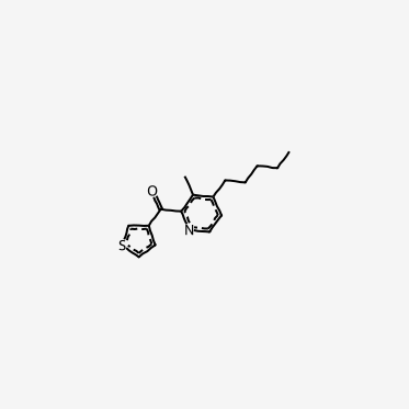 CCCCCc1ccnc(C(=O)c2ccsc2)c1C